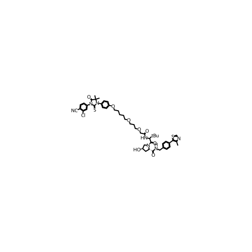 Cc1ncsc1-c1ccc(CNC(=O)[C@@H]2C[C@@H](O)CN2C(=O)C(NC(=O)COCCCOCCCCCOc2ccc(N3C(=S)N(c4ccc(C#N)c(Cl)c4)C(=O)C3(C)C)cc2)C(C)(C)C)cc1